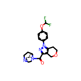 O=C(c1nn(-c2ccc(OC(F)F)cc2)c2c1COCC2)N1CCN2CCC1CC2